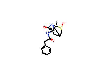 O=C(Cc1ccccc1)NC12CC3C[S@+]([O-])[C@H]1N(C2=O)[C@H]3C(=O)O